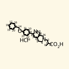 CC(CN1CCc2cc(-c3ccc(OCc4ccccc4)cc3)nnc2C1)C(=O)O.Cl